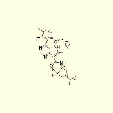 CC(=O)N1C[C@@H](NC(=O)c2c(C)[nH]c3c(-c4c(OCC5CC5)ccc(C)c4F)ncnc23)C(F)(F)C1